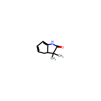 CC1(C)C(=O)NC2=CC=CCC21